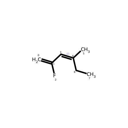 C=C(F)/C=C(/C)CC